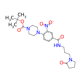 CC(C)(C)OC(=O)N1CCN(c2ccc(C(=O)NCCCN3CCCC3=O)cc2[N+](=O)[O-])CC1